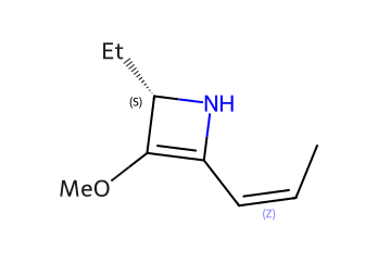 C/C=C\C1=C(OC)[C@H](CC)N1